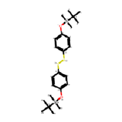 CC(C)(C)[Si](C)(C)Oc1ccc(SSc2ccc(O[Si](C)(C)C(C)(C)C)cc2)cc1